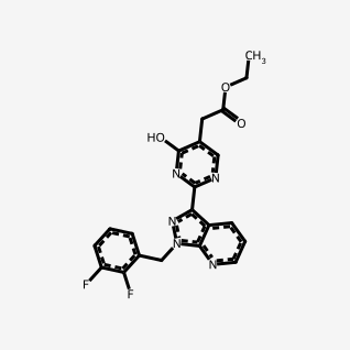 CCOC(=O)Cc1cnc(-c2nn(Cc3cccc(F)c3F)c3ncccc23)nc1O